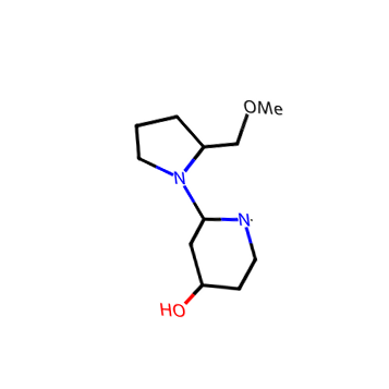 COCC1CCCN1C1CC(O)CC[N]1